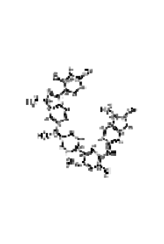 C[C@@H]1C[C@@H](N(C)c2ccc3c(C4CCC(=O)NC4=O)nn(C)c3c2)CCN1c1ncc(Cl)c(Nc2ccc3c(c2)CC(=O)N3C)n1